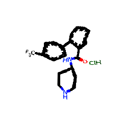 Cl.O=C(NC1CCNCC1)c1ccccc1-c1ccc(C(F)(F)F)cc1